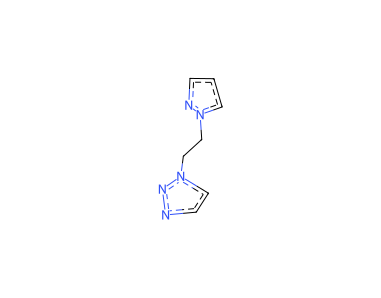 c1cnn(CCn2ccnn2)c1